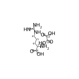 N=C(N)NCCCC(N)C(=O)O.O=C(O)C(=O)O